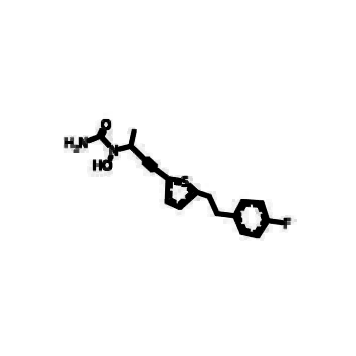 CC(C#Cc1ccc(CCc2ccc(F)cc2)s1)N(O)C(N)=O